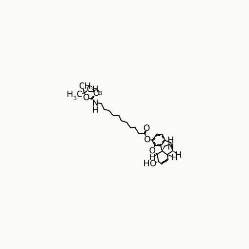 CC(C)(C)OC(=O)NCCCCCCCCCCC(=O)Oc1ccc2c3c1O[C@H]1[C@@H](O)C=C[C@H]4[C@@H](C2)NCC[C@@]341